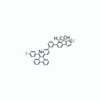 CC1(C)c2cc(F)ccc2-c2ccc(-c3cccc(-c4ccc5c(c4)nc(-c4ccc(F)cc4)c4c6ccccc6c6ccccc6c54)c3)cc21